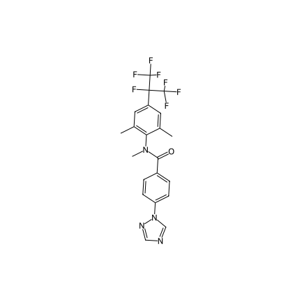 Cc1cc(C(F)(C(F)(F)F)C(F)(F)F)cc(C)c1N(C)C(=O)c1ccc(-n2cncn2)cc1